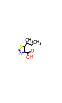 CCC(C)c1scnc1C(=O)O